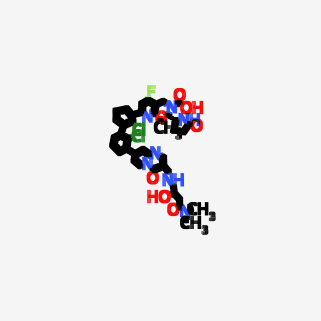 COc1nc(-c2cccc(-c3cccc(-c4ccn5c(=O)c(CNCC(O)CC(=O)N(C)C)cnc5c4)c3Cl)c2Cl)cc(F)c1CN(C[C@@H]1CCC(=O)N1)C(=O)O